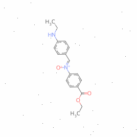 CCNc1ccc(C=[N+]([O-])c2ccc(C(=O)OCC)cc2)cc1